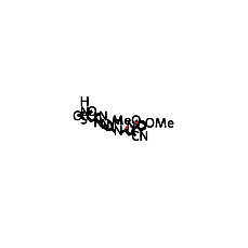 COc1ccc(-c2ncc(CNCC3CCN(c4nccc(C=C5SC(=O)NC5=O)n4)CC3)cc2C#N)c(OC)c1